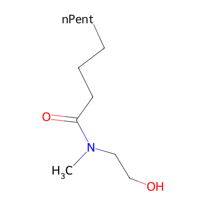 CCCCCCCCC(=O)N(C)CCO